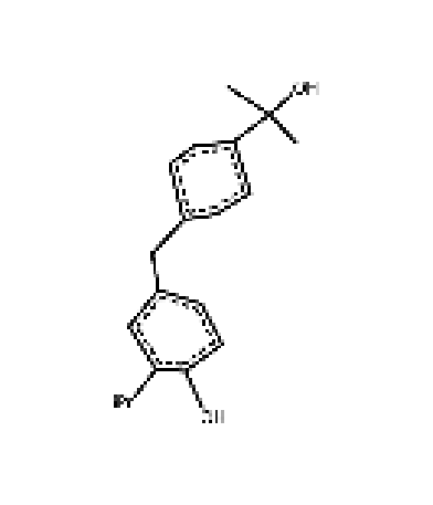 CC(C)c1cc(Cc2ccc(C(C)(C)O)cc2)ccc1O